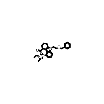 CCN(CC)OC(=O)C1CCCc2c1c1c(OC)cccc1n2CCOCc1ccccc1